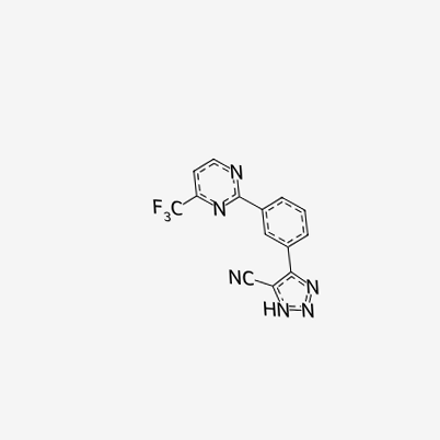 N#Cc1[nH]nnc1-c1cccc(-c2nccc(C(F)(F)F)n2)c1